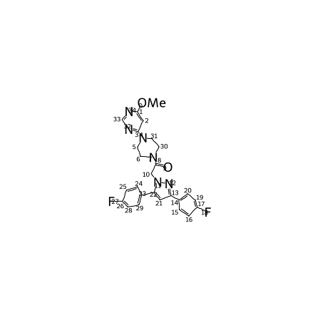 COc1cc(N2CCN(C(=O)Cn3nc(-c4ccc(F)cc4)cc3-c3ccc(F)cc3)CC2)ncn1